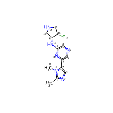 Cc1ncc(-c2cncc(N[C@@H]3CNC[C@@H]3F)n2)n1C